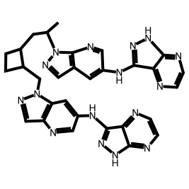 CC(CC1CCC1Cn1ncc2ncc(Nc3n[nH]c4nccnc34)cc21)n1ncc2cc(Nc3n[nH]c4nccnc34)cnc21